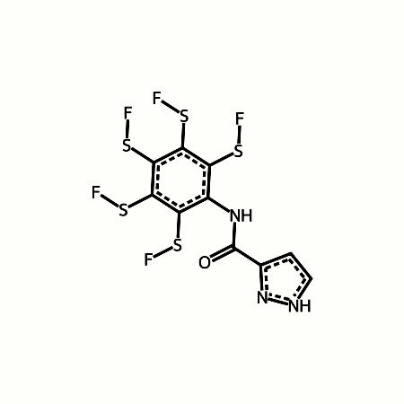 O=C(Nc1c(SF)c(SF)c(SF)c(SF)c1SF)c1cc[nH]n1